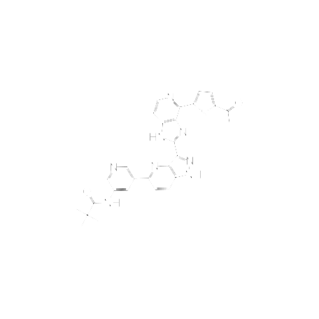 CC(=O)c1ccc(-c2nccc3[nH]c(-c4n[nH]c5ccc(-c6cncc(NC(=O)C(C)(C)C)c6)nc45)nc23)s1